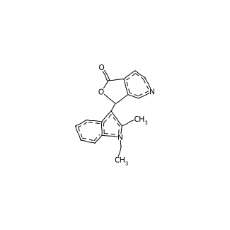 CCn1c(C)c(C2OC(=O)c3ccncc32)c2ccccc21